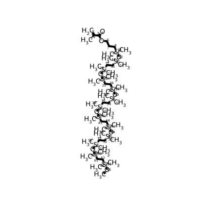 C=C(C)C(=O)OCCC[Si](C)(C)O[Si](C)(C)CC[Si](C)(C)O[Si](C)(C)CC[Si](C)(C)O[Si](C)(C)CC[Si](C)(C)O[Si](C)(C)CC[Si](C)(C)O[Si](C)(C)CC[Si](C)(C)O[Si](C)(C)CC[Si](C)(C)OC